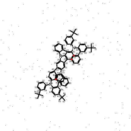 CC(C)(C)c1cccc(N(c2ccc(C(C)(C)C)cc2-c2ccccc2)c2ccc3c4cc5c(cc4n4c6ccccc6c2c34)c2ccc(N(c3cccc(C(C)(C)C)c3)c3ccc(C(C)(C)C)cc3-c3ccccc3)c3c4ccccc4n5c23)c1